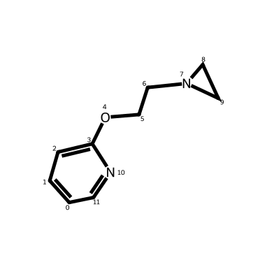 c1ccc(OCCN2CC2)nc1